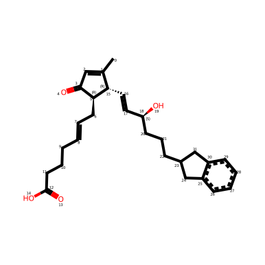 CC1=CC(=O)[C@H](CC=CCCCC(=O)O)[C@H]1C=C[C@@H](O)CCCC1Cc2ccccc2C1